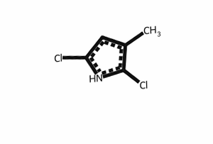 Cc1cc(Cl)[nH]c1Cl